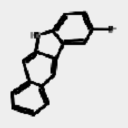 Brc1ccc2[nH]c3cc4ccccc4cc3c2c1